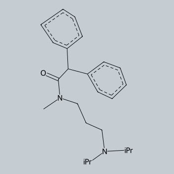 CC(C)N(CCCN(C)C(=O)C(c1ccccc1)c1ccccc1)C(C)C